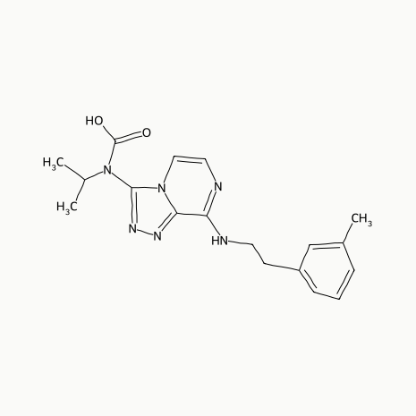 Cc1cccc(CCNc2nccn3c(N(C(=O)O)C(C)C)nnc23)c1